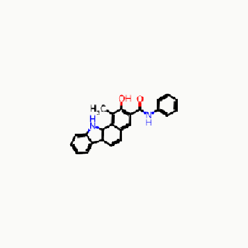 Cc1c(O)c(C(=O)Nc2ccccc2)cc2c1C1Nc3ccccc3C1C=C2